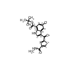 CNC(=O)c1csc(C(=O)c2c[nH]c3c(C(=O)OC(C)(C)C)cc(Cl)cc23)n1